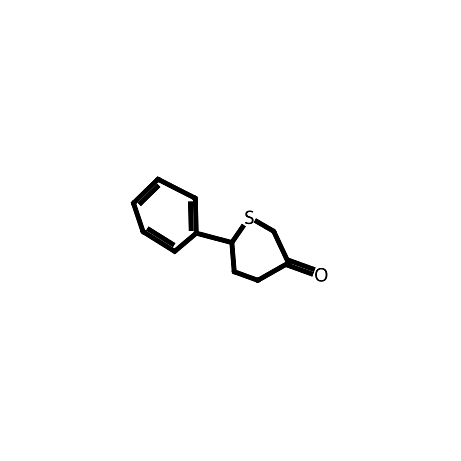 O=C1CCC(c2ccccc2)SC1